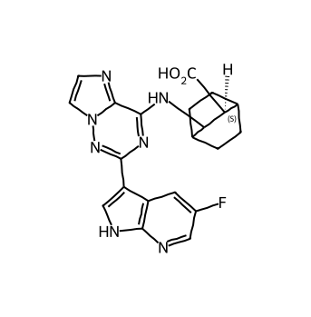 O=C(O)[C@H]1C2CCC(CC2)C1Nc1nc(-c2c[nH]c3ncc(F)cc23)nn2ccnc12